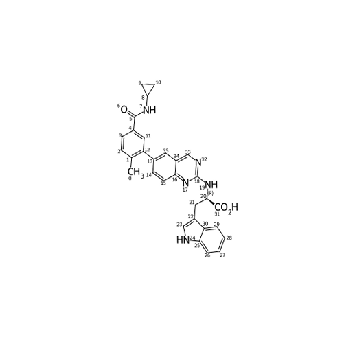 Cc1ccc(C(=O)NC2CC2)cc1-c1ccc2nc(N[C@H](Cc3c[nH]c4ccccc34)C(=O)O)ncc2c1